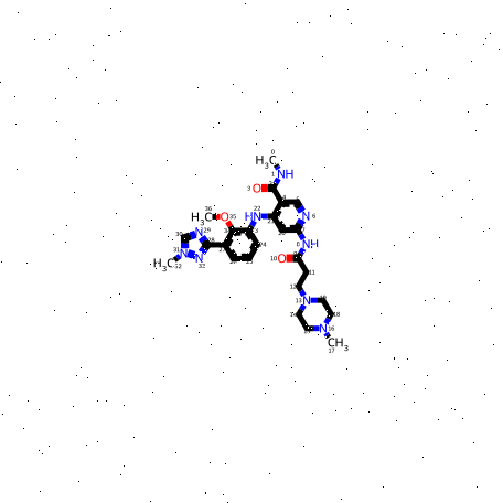 CNC(=O)c1cnc(NC(=O)CCN2CCN(C)CC2)cc1Nc1cccc(-c2ncn(C)n2)c1OC